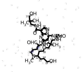 CNc1cc(N/C(C=O)=C/C=C\N(C)C(CCCO)CCOCC(C)(C)CNC=O)nc2c(C(=O)NCC(C)(C)CO)cnn12